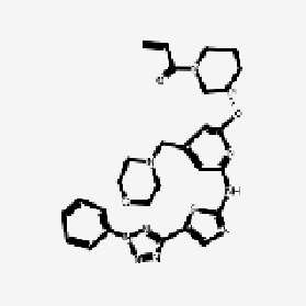 C=CC(=O)N1CCC[C@H](Oc2cc(CN3CCOCC3)cc(Nc3ncc(-c4nnn(-c5ccccc5)n4)s3)n2)C1